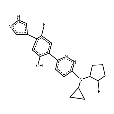 Oc1cc(-c2cn[nH]c2)c(F)cc1-c1ccc(N(C2CC2)C2CCCC2F)nn1